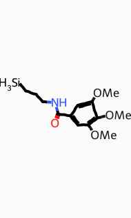 COc1cc(C(=O)NCCC[SiH3])cc(OC)c1OC